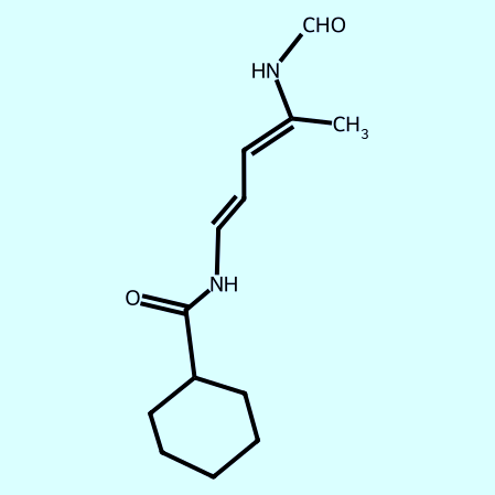 C/C(=C\C=C\NC(=O)C1CCCCC1)NC=O